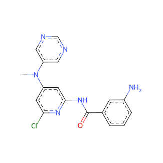 CN(c1cncnc1)c1cc(Cl)nc(NC(=O)c2cccc(N)c2)c1